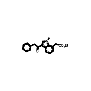 CCOC(=O)Cc1cccc2c(C(=O)Cc3ccccc3)cn(C)c12